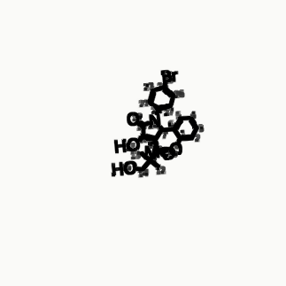 COc1ccccc1C1C(C(=O)C(C)(C)CO)=C(O)C(=O)N1c1ccc(Br)cc1